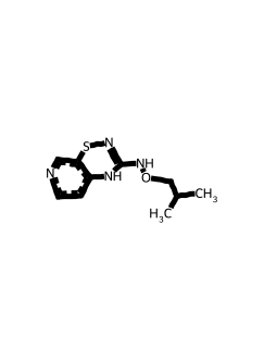 CC(C)CONC1=NSc2cnccc2N1